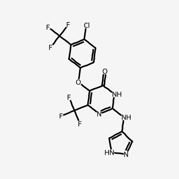 O=c1[nH]c(Nc2cn[nH]c2)nc(C(F)(F)F)c1Oc1ccc(Cl)c(C(F)(F)F)c1